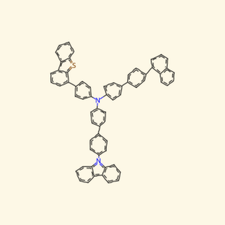 c1ccc2c(-c3ccc(-c4ccc(N(c5ccc(-c6ccc(-n7c8ccccc8c8ccccc87)cc6)cc5)c5ccc(-c6cccc7c6sc6ccccc67)cc5)cc4)cc3)cccc2c1